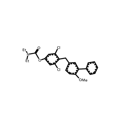 CCN(CC)C(=O)Oc1cc(Cl)c(Cc2ccc(OC)c(-c3ccccc3)c2)c(Cl)c1